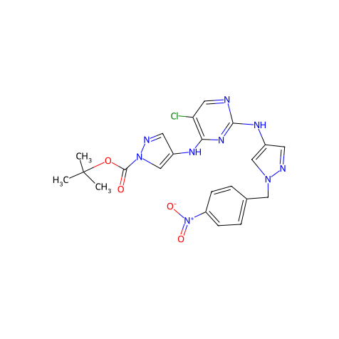 CC(C)(C)OC(=O)n1cc(Nc2nc(Nc3cnn(Cc4ccc([N+](=O)[O-])cc4)c3)ncc2Cl)cn1